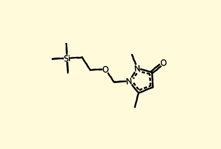 Cc1cc(=O)n(C)n1COCC[Si](C)(C)C